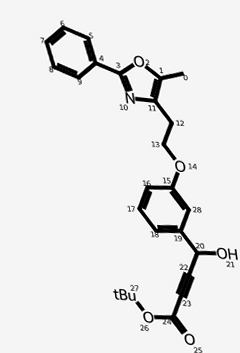 Cc1oc(-c2ccccc2)nc1CCOc1cccc(C(O)C#CC(=O)OC(C)(C)C)c1